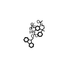 CC(=O)N1CCC(C)(c2ccccc2)c2cc(NC(=O)OCC3c4ccccc4-c4ccccc43)c([N+](=O)[O-])cc21